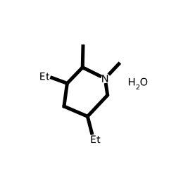 CCC1CC(CC)C(C)N(C)C1.O